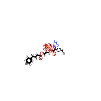 C[C@@H](N)C(=O)OCC(COC(=O)CCCc1ccccc1)OP(=O)(O)O